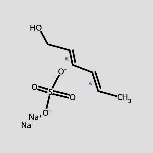 C/C=C/C=C/CO.O=S(=O)([O-])[O-].[Na+].[Na+]